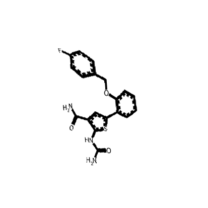 NC(=O)Nc1sc(-c2ccccc2OCc2ccc(F)cc2)cc1C(N)=O